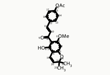 COc1cc2c(c(O)c1C(=O)C=Cc1ccc(OC(C)=O)cc1)C=CC(C)(C)O2